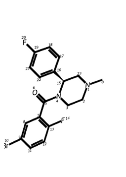 CN1CCN(C(=O)c2cc(Br)ccc2F)[C@@H](c2ccc(F)cc2)C1